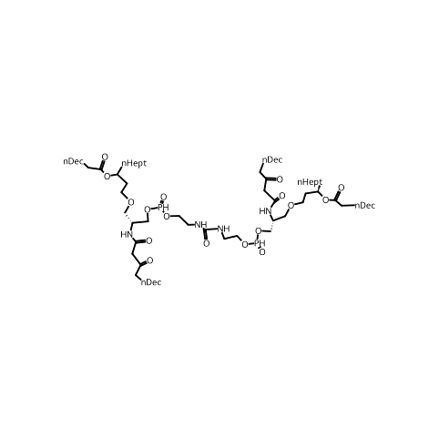 CCCCCCCCCCCC(=O)CC(=O)N[C@H](COCCC(CCCCCCC)OC(=O)CCCCCCCCCCC)CO[PH](=O)OCCNC(=O)NCCO[PH](=O)OC[C@@H](COCC[C@@H](CCCCCCC)OC(=O)CCCCCCCCCCC)NC(=O)CC(=O)CCCCCCCCCCC